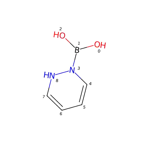 OB(O)N1C=CC=CN1